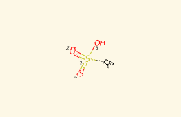 O=[S](=O)(O)[Co]